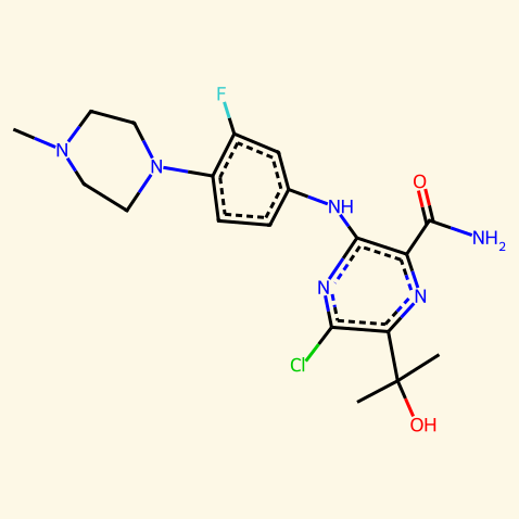 CN1CCN(c2ccc(Nc3nc(Cl)c(C(C)(C)O)nc3C(N)=O)cc2F)CC1